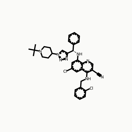 CC(C)(C)N1CCC(n2cc([C@@H](Nc3cc(Cl)cc4c(NCc5ccccc5Cl)c(C#N)cnc34)c3ccccc3)nn2)CC1